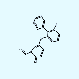 N=Cn1nc(Oc2cccc(C(F)(F)F)c2-c2cccnc2)ccc1=N